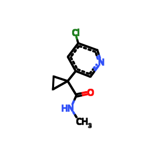 CNC(=O)C1(c2cncc(Cl)c2)CC1